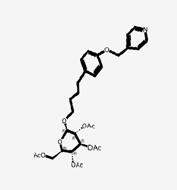 CC(=O)OC[C@H]1O[C@@H](OCCCCc2ccc(OCc3ccncc3)cc2)[C@H](OC(C)=O)[C@@H](OC(C)=O)[C@@H]1OC(C)=O